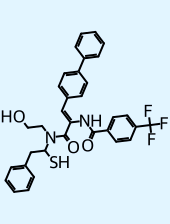 O=C(N/C(=C\c1ccc(-c2ccccc2)cc1)C(=O)N(CCO)C(S)Cc1ccccc1)c1ccc(C(F)(F)F)cc1